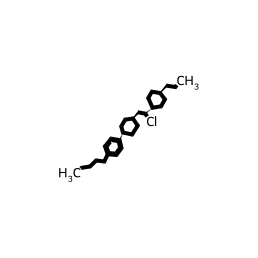 CCCCCc1ccc([C@H]2CC[C@H](CC(Cl)[C@H]3CC[C@H](CCC)CC3)CC2)cc1